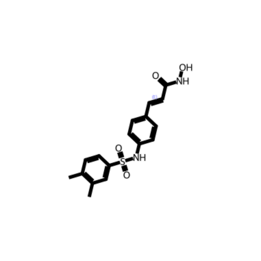 Cc1ccc(S(=O)(=O)Nc2ccc(/C=C/C(=O)NO)cc2)cc1C